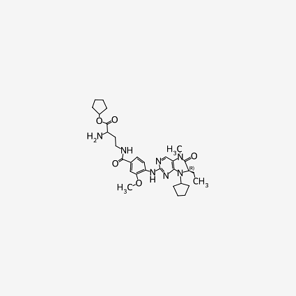 CC[C@@H]1C(=O)N(C)c2cnc(Nc3ccc(C(=O)NCCC(N)C(=O)OC4CCCC4)cc3OC)nc2N1C1CCCC1